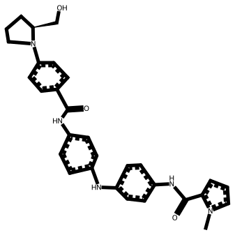 Cn1cccc1C(=O)Nc1ccc(Nc2ccc(NC(=O)c3ccc(N4CCC[C@H]4CO)cc3)cc2)cc1